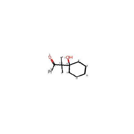 CC(C)C(=O)C(C)(C)C1(O)CCCCC1